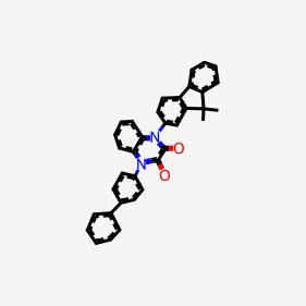 CC1(C)c2ccccc2-c2ccc(-n3c(=O)c(=O)n(-c4ccc(-c5ccccc5)cc4)c4ccccc43)cc21